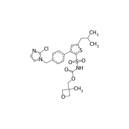 CC(C)Cc1cc(-c2ccc(Cn3ccnc3Cl)cc2)c(S(=O)(=O)NC(=O)OCC2(C)COC2)s1